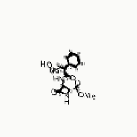 COC(=O)[C@@H]1NC(=O)[C@@H]1NC(=O)C(c1ccccc1)S(=O)(=O)O.[NaH]